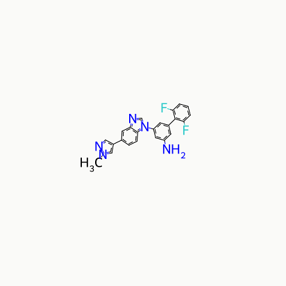 Cn1cc(-c2ccc3c(c2)ncn3-c2cc(N)cc(-c3c(F)cccc3F)c2)cn1